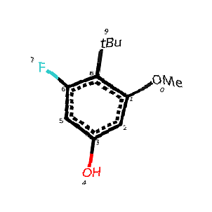 COc1cc(O)cc(F)c1C(C)(C)C